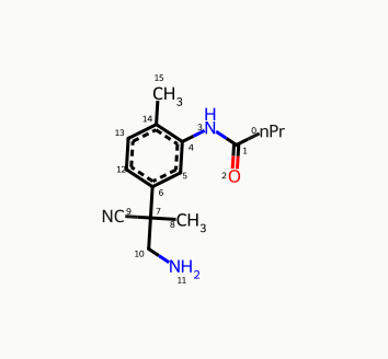 CCCC(=O)Nc1cc(C(C)(C#N)CN)ccc1C